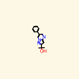 CC(C)(O)c1cc2ncc(-c3ccccc3)cn2n1